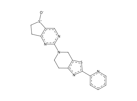 [O-][S+]1CCc2nc(N3CCc4nc(-c5ccccn5)sc4C3)ncc21